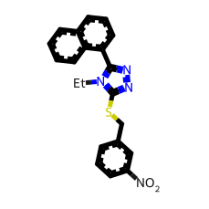 CCn1c(SCc2cccc([N+](=O)[O-])c2)nnc1-c1cccc2ccccc12